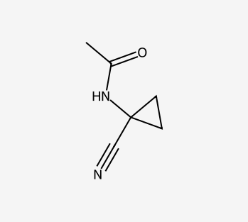 CC(=O)NC1(C#N)CC1